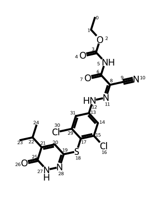 CCOC(=O)NC(=O)C(C#N)=NNc1cc(Cl)c(Sc2cc(C(C)C)c(=O)[nH]n2)c(Cl)c1